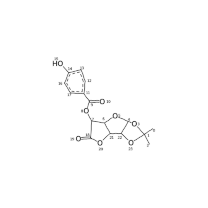 CC1(C)OC2OC3C(OC(=O)c4ccc(O)cc4)C(=O)OC3C2O1